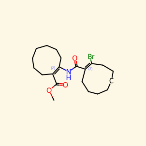 COC(=O)/C1=C(\NC(=O)/C2=C(\Br)CCCCCCC2)CCCCCCC1